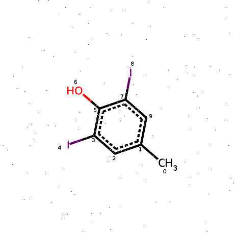 Cc1cc(I)c(O)c(I)c1